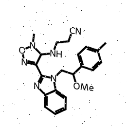 COC(Cn1c(C2=NON(C)C2NCCC#N)nc2ccccc21)c1ccc(C)cc1